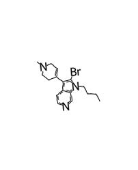 CCCCn1c(Br)c(C2=CCN(C)CC2)c2ccncc21